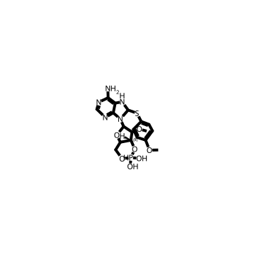 COc1ccc(SC2Nc3c(N)ncnc3N2C2OC3CO[PH](O)(O)O[C@H]3C2OC)cc1